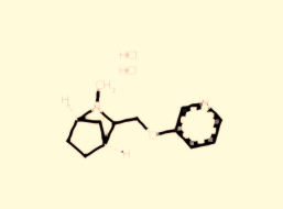 CN1C(COc2cccnc2)[C@H]2CC[C@@H]1C2.Cl.Cl